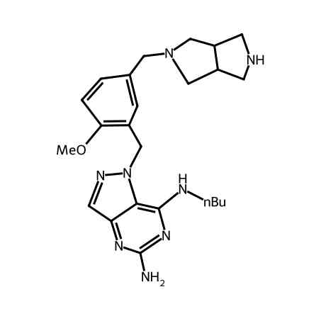 CCCCNc1nc(N)nc2cnn(Cc3cc(CN4CC5CNCC5C4)ccc3OC)c12